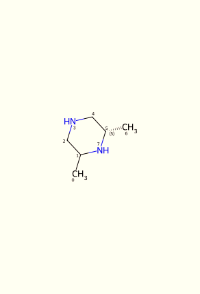 CC1CNC[C@H](C)N1